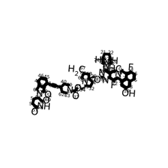 C#Cc1c(F)ccc2cc(O)cc(-c3ncc4c(N5C[C@H]6CC[C@@H](C5)N6)nc(OC[C@@]56CC[C@@H](COC(=O)N7CCC(C#Cc8cccc9c8C(=O)N(C8CCC(=O)NC8=O)C9)CC7)N5CC(=C)C6)nc4c3F)c12